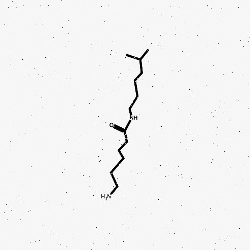 CC(C)CCCCNC(=O)CCCCCN